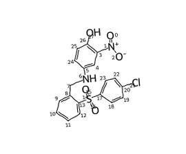 O=[N+]([O-])c1cc(NCc2ccccc2S(=O)(=O)c2ccc(Cl)cc2)ccc1O